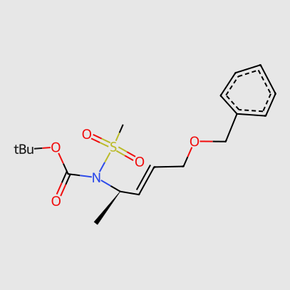 C[C@H](C=CCOCc1ccccc1)N(C(=O)OC(C)(C)C)S(C)(=O)=O